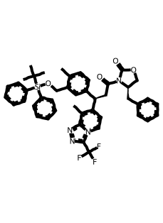 Cc1ccc([C@@H](CC(=O)N2C(=O)OC[C@H]2Cc2ccccc2)c2ccn3c(C(F)(F)F)nnc3c2C)cc1CO[Si](c1ccccc1)(c1ccccc1)C(C)(C)C